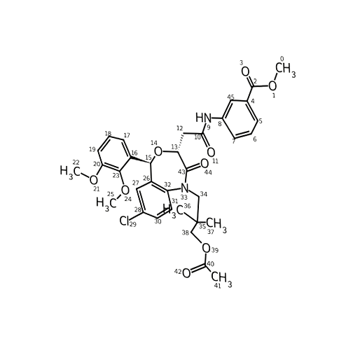 COC(=O)c1cccc(NC(=O)C[C@H]2O[C@H](c3cccc(OC)c3OC)c3cc(Cl)ccc3N(CC(C)(C)COC(C)=O)C2=O)c1